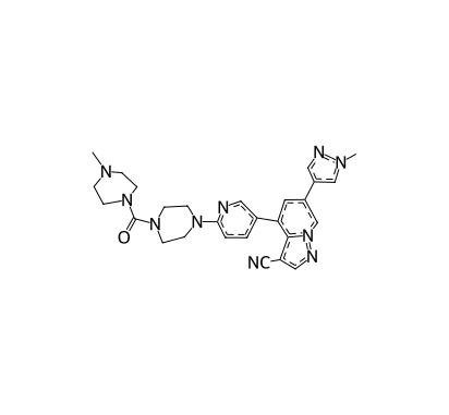 CN1CCN(C(=O)N2CCN(c3ccc(-c4cc(-c5cnn(C)c5)cn5ncc(C#N)c45)cn3)CC2)CC1